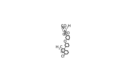 Cc1cnc2c(Cl)cccc2c1-c1cccc(Oc2cccc(S(=O)(=O)N3CCN(C(=O)O)CC3)c2)c1